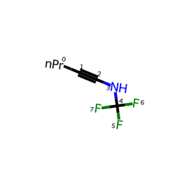 CCCC#CNC(F)(F)F